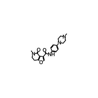 CN1CCN(c2ccc(NC(=O)c3coc4c3C(=O)N(C)CC4)cc2)CC1